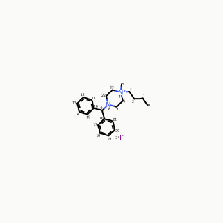 CCCC[N+]1(C)CCN(C(c2ccccc2)c2ccccc2)CC1.[I-]